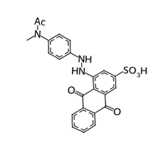 CC(=O)N(C)c1ccc(NNc2cc(S(=O)(=O)O)cc3c2C(=O)c2ccccc2C3=O)cc1